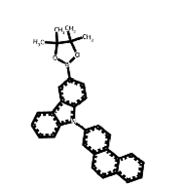 CC1(C)OB(c2ccc3c(c2)c2ccccc2n3-c2ccc3c(ccc4ccccc43)c2)OC1(C)C